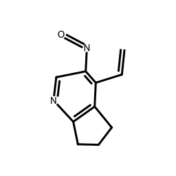 C=Cc1c(N=O)cnc2c1CCC2